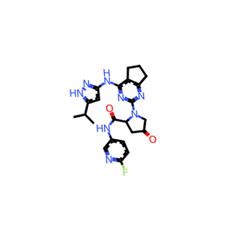 CC(C)c1cc(Nc2nc(N3CC(=O)CC3C(=O)Nc3ccc(F)nc3)nc3c2CCC3)n[nH]1